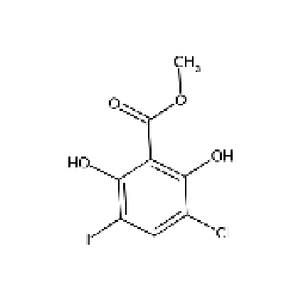 COC(=O)c1c(O)c(Cl)cc(I)c1O